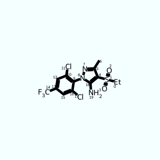 CCS(=O)(=O)c1c(C)nn(-c2c(Cl)cc(C(F)(F)F)cc2Cl)c1N